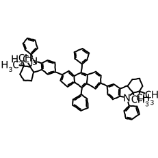 CC1(C)CCCC2c3cc(-c4ccc5c(-c6ccccc6)c6cc(-c7ccc8c(c7)C7CCCC(C)(C)C7(C)N8c7ccccc7)ccc6c(-c6ccccc6)c5c4)ccc3N(c3ccccc3)C21C